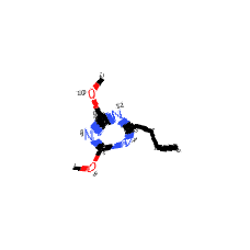 CCCc1nc(OC)nc(OC)n1